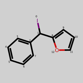 IC(c1ccccc1)c1ccco1